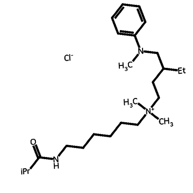 CCC(CC[N+](C)(C)CCCCCCNC(=O)C(C)C)CN(C)c1ccccc1.[Cl-]